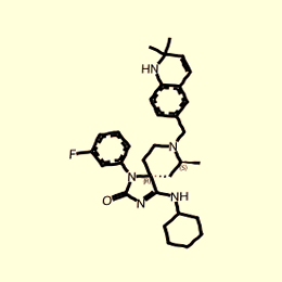 C[C@H]1C[C@]2(CCN1Cc1ccc3c(c1)C=CC(C)(C)N3)C(NC1CCCCC1)=NC(=O)N2c1cccc(F)c1